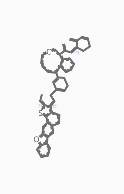 C=C1C=CCC/C1=C/C(=C)c1ccccccc(C2=CC(C/C=c3\c(=C/C)sc4c3ccc3cc5c(cc34)oc3ccccc35)=CCC2)c2ccccc12